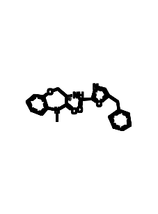 CN1C(=O)[C@@H](NC(=O)c2ncc(Cc3ccccc3)o2)COc2ccccc21